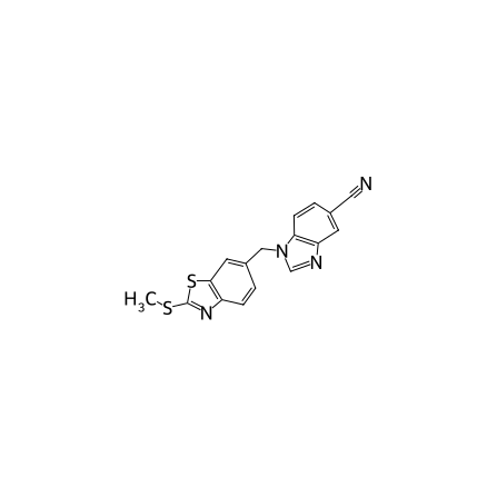 CSc1nc2ccc(Cn3cnc4cc(C#N)ccc43)cc2s1